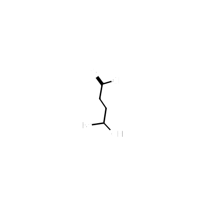 CC(Br)CCC(=O)Cl